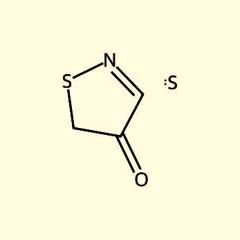 O=C1C=NSC1.[S]